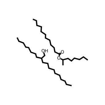 CCCCCCCCCCC(CO)CCCCCCCC.CCCCCCCCCCCC(=O)OC(C)CCCCCC